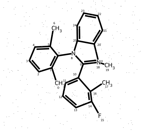 Cc1cccc(C)c1-n1c(-c2cccc(F)c2C)[n+](C)c2ccccc21